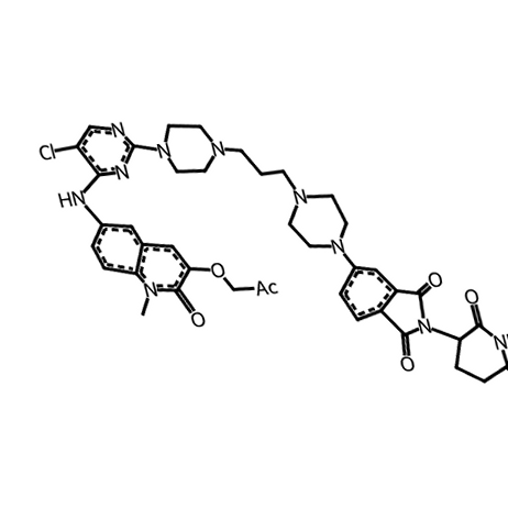 CC(=O)COc1cc2cc(Nc3nc(N4CCN(CCCN5CCN(c6ccc7c(c6)C(=O)N(C6CCC(=O)NC6=O)C7=O)CC5)CC4)ncc3Cl)ccc2n(C)c1=O